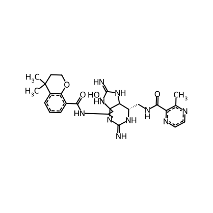 Cc1nccnc1C(=O)NC[C@@H]1NC(=N)N2CC(NC(=O)c3cccc4c3OCCC4(C)C)[C@@H](O)C23NC(=N)NC13